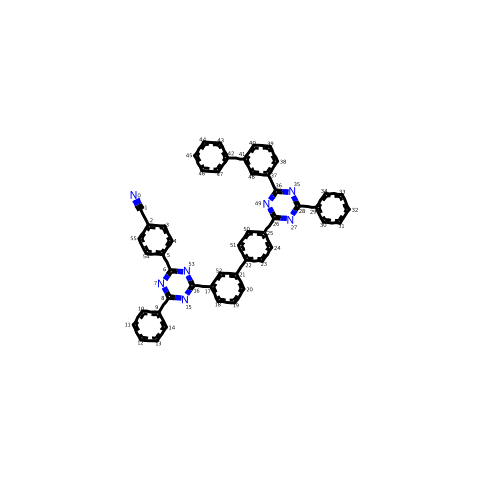 N#Cc1ccc(-c2nc(-c3ccccc3)nc(-c3cccc(-c4ccc(-c5nc(-c6ccccc6)nc(-c6cccc(-c7ccccc7)c6)n5)cc4)c3)n2)cc1